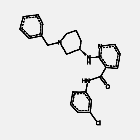 O=C(Nc1cccc(Cl)c1)c1cccnc1N[C@H]1CCCN(Cc2ccccc2)C1